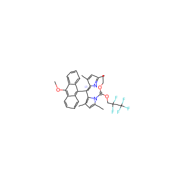 CCOB(OCC(F)(F)C(F)(F)F)n1c(C)cc(C)c1/C(=C1\N=C(C)C=C1C)c1c2ccccc2c(OC)c2ccccc12